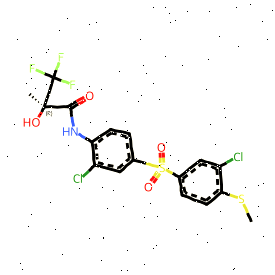 CSc1ccc(S(=O)(=O)c2ccc(NC(=O)[C@@](C)(O)C(F)(F)F)c(Cl)c2)cc1Cl